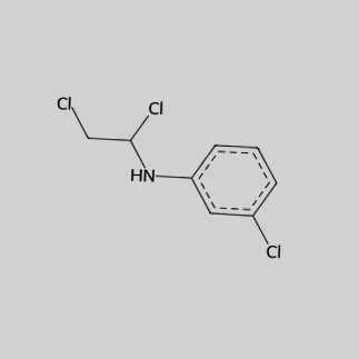 ClCC(Cl)Nc1cccc(Cl)c1